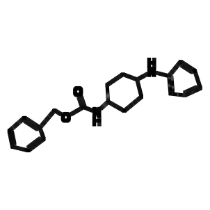 O=C(NC1CCC(Nc2ccccc2)CC1)OCc1ccccc1